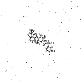 [2H]C([2H])([2H])c1nc(-c2ccc(NC(=O)C(O)c3cccc(Cl)c3)c(F)c2F)c2c(N)ncc(C)n12